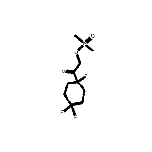 CP(C)(=O)OCC(=O)C1(F)CCC(F)(F)CC1